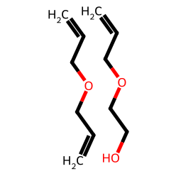 C=CCOCC=C.C=CCOCCO